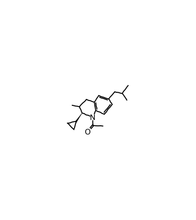 CC(=O)N1c2ccc(CC(C)C)cc2CC(C)[C@@H]1C1CC1